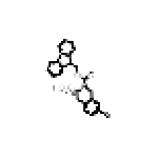 O=C(O)[C@@H]1Cc2ccc(Br)cc2CN1C(=O)OCC1c2ccccc2-c2ccccc21